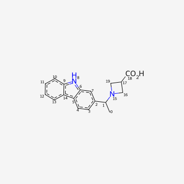 CC(c1ccc2c(c1)[nH]c1ccccc12)N1CC(C(=O)O)C1